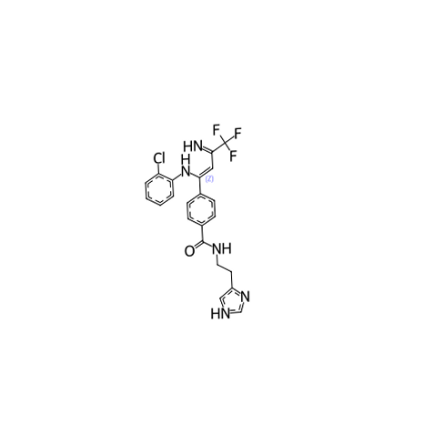 N=C(/C=C(\Nc1ccccc1Cl)c1ccc(C(=O)NCCc2c[nH]cn2)cc1)C(F)(F)F